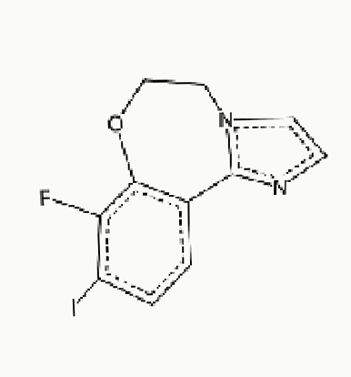 Fc1c(I)ccc2c1OCCn1ccnc1-2